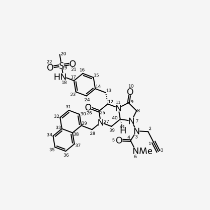 C#CCN(C(=O)NC)N1CC(=O)N2[C@@H](Cc3ccc(NS(C)(=O)=O)cc3)C(=O)N(Cc3cccc4ccccc34)C[C@@H]21